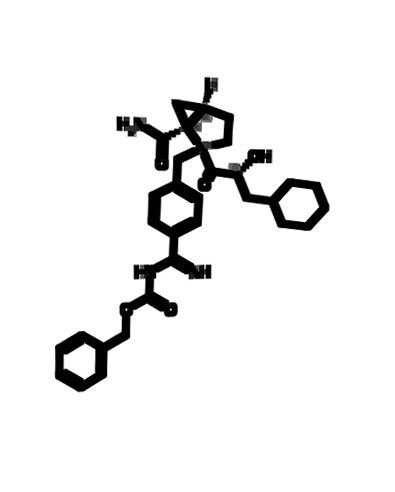 N=C(NC(=O)OCc1ccccc1)c1ccc(C[N+]2(C(=O)[C@H](O)CC3CCCCC3)CC[C@@H]3C[C@@]32C(N)=O)cc1